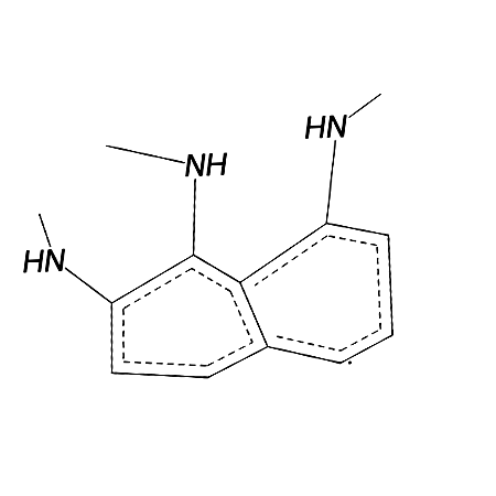 CNc1ccc2[c]ccc(NC)c2c1NC